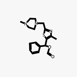 Cc1nc(CN2CCN(C)CC2)sc1C(OC=O)c1ccccc1